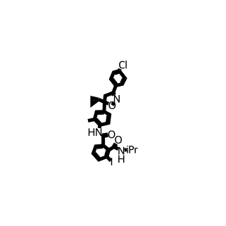 Cc1cc(C2(C3CC3)CC(c3ccc(Cl)cc3)=NO2)ccc1NC(=O)c1cccc(I)c1C(=O)NC(C)C